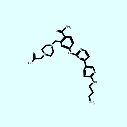 NCCCNc1ccc(-c2ccnc(Nc3ccc(C(N)=O)c(CN4CCN(CC(=O)O)CC4)c3)n2)cn1